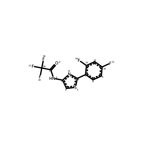 O=C(Nc1csc(-c2ccc(F)cc2F)n1)C(F)(F)F